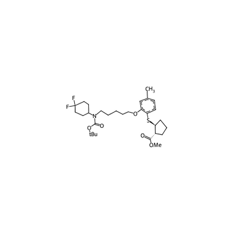 COC(=O)[C@H]1CCC[C@@H]1Sc1ccc(C)cc1OCCCCCN(C(=O)OC(C)(C)C)C1CCC(F)(F)CC1